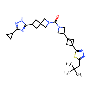 CC(C)(C)Cc1nnc(C23CC(C4CN(C(=O)N5CC6(CC(c7nc(C8CC8)n[nH]7)C6)C5)C4)(C2)C3)s1